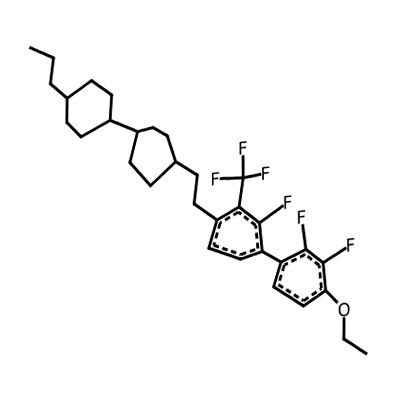 CCCC1CCC(C2CCC(CCc3ccc(-c4ccc(OCC)c(F)c4F)c(F)c3C(F)(F)F)CC2)CC1